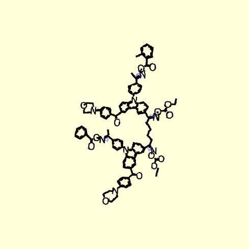 CCOC(=O)O/N=C(/CCCC/C(=N/OC(=O)OCC)c1ccc2c(c1)c1cc(C(=O)c3ccc(N4CCOCC4)cc3)ccc1n2-c1ccc(/C(C)=N/OC(=O)c2ccccc2C)cc1)c1ccc2c(c1)c1cc(C(=O)c3ccc(N4CCOCC4)cc3)ccc1n2-c1ccc(/C(C)=N/OC(=O)c2ccccc2)cc1